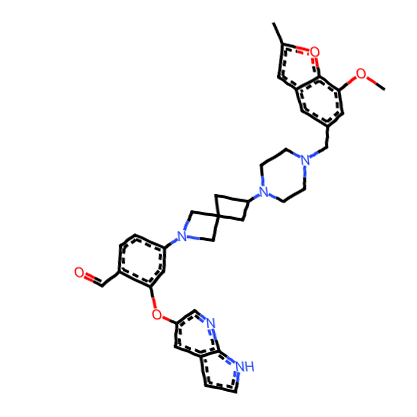 COc1cc(CN2CCN(C3CC4(C3)CN(c3ccc(C=O)c(Oc5cnc6[nH]ccc6c5)c3)C4)CC2)cc2cc(C)oc12